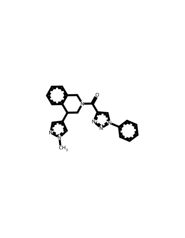 Cn1cc(C2CN(C(=O)c3cn(-c4ccccc4)nn3)Cc3ccccc32)cn1